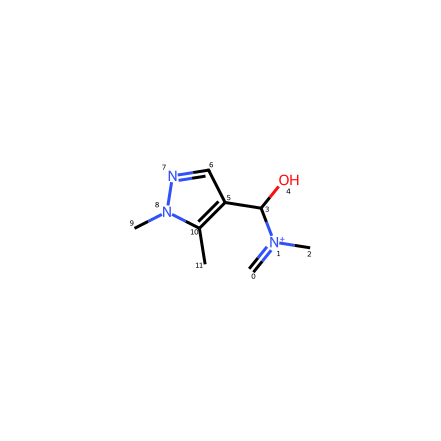 C=[N+](C)C(O)c1cnn(C)c1C